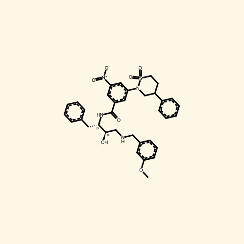 COc1cccc(CNC[C@@H](O)[C@H](Cc2ccccc2)NC(=O)c2cc(N3CC(c4ccccc4)CCS3(=O)=O)cc([N+](=O)[O-])c2)c1